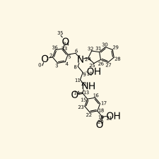 COc1ccc(CN(C[C@H](O)CNC(=O)c2ccc(C(=O)O)cc2)C2Cc3ccccc3C2)c(OC)c1